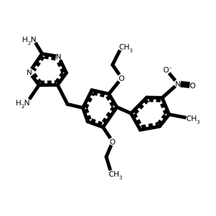 CCOc1cc(Cc2cnc(N)nc2N)cc(OCC)c1-c1ccc(C)c([N+](=O)[O-])c1